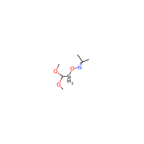 COC(OC)[SiH2]ON=C(C)C